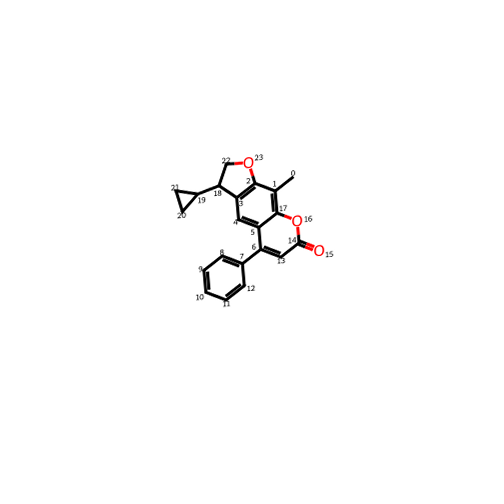 Cc1c2c(cc3c(-c4ccccc4)cc(=O)oc13)C(C1CC1)CO2